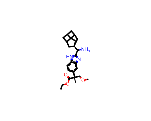 CCOC(=O)C(C)(COC)c1ccc2[nH]c(C(N)C34CC5CC6CC(C3)C65C4)nc2c1